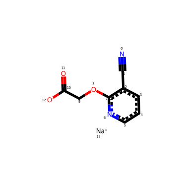 N#Cc1cccnc1OCC(=O)[O-].[Na+]